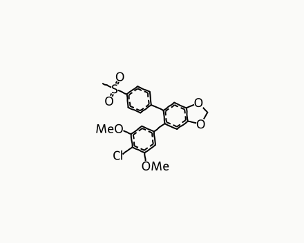 COc1cc(-c2cc3c(cc2-c2ccc(S(C)(=O)=O)cc2)OCO3)cc(OC)c1Cl